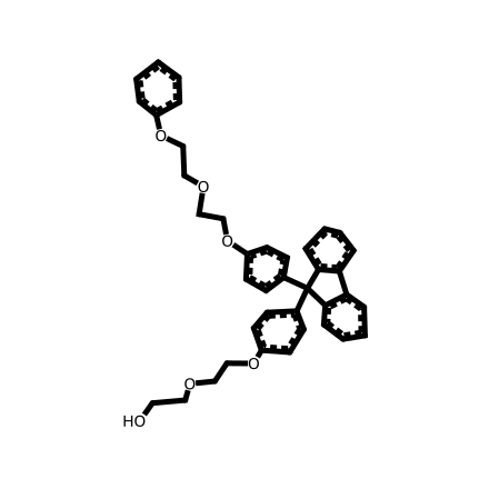 OCCOCCOc1ccc(C2(c3ccc(OCCOCCOc4ccccc4)cc3)c3ccccc3-c3ccccc32)cc1